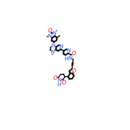 Cc1cc(N2CCN(C)c3cc(-c4ccc(C(=O)NCC#Cc5cc6c(C7CCC(=O)NC7=O)cccc6o5)nc4)ncc32)cc2c1n(C)c(=O)n2C